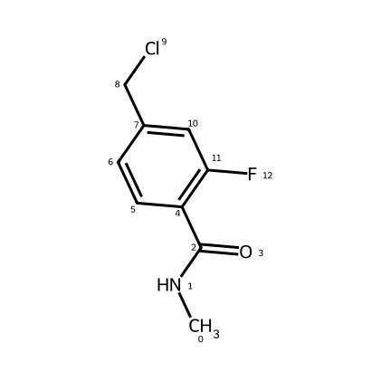 CNC(=O)c1ccc(CCl)cc1F